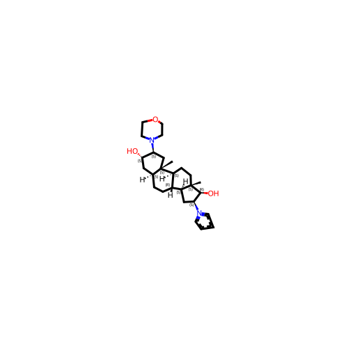 C[C@]12C[C@H](N3CCOCC3)[C@@H](O)C[C@@H]1CC[C@@H]1[C@@H]2CC[C@]2(C)[C@@H](O)[C@@H](n3cccc3)C[C@@H]12